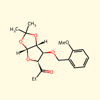 CCC(=O)[C@H]1O[C@@H]2OC(C)(C)O[C@@H]2[C@H]1OCc1ccccc1OC